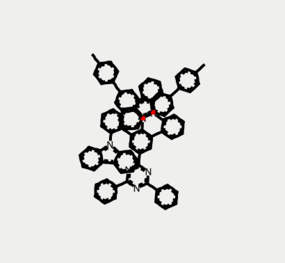 Cc1ccc(-c2ccc3c(c2)c2cc(-c4ccc(C)cc4)ccc2n3-c2c(-c3ccccc3-n3c4ccccc4c4ccccc43)cc(-c3nc(-c4ccccc4)nc(-c4ccccc4)n3)cc2-c2ccccc2-n2c3ccccc3c3ccccc32)cc1